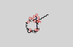 C=C1CCC[C@@H]2CCC[C@H](C[C@@H]3CCO[C@H](/C=C/C(C)(C)[C@]4(O)OC(C/C(=C\C(=O)OC)[C@@H]4OC(=O)CCCCCCC)CC(CO)O1)O3)O2